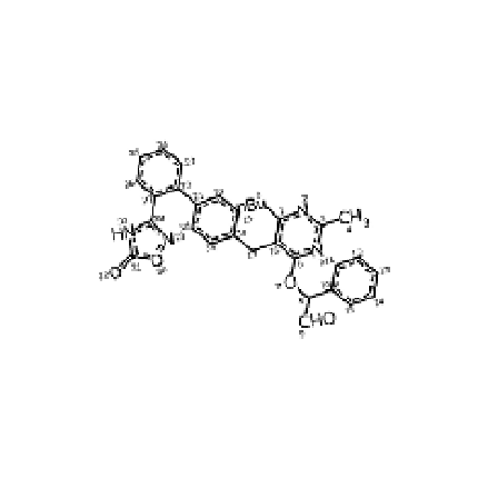 CCCCc1nc(C)nc(OC(C=O)c2ccccc2)c1Cc1ccc(-c2ccccc2-c2noc(=O)[nH]2)cc1